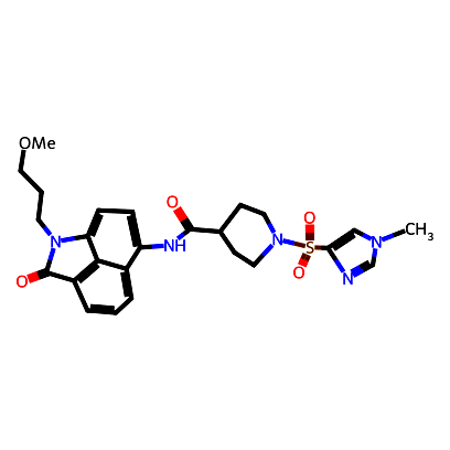 COCCCN1C(=O)c2cccc3c(NC(=O)C4CCN(S(=O)(=O)c5cn(C)cn5)CC4)ccc1c23